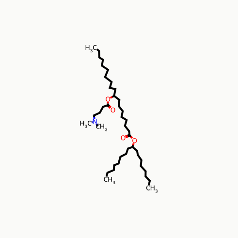 CCCCCCCCCCC(CCCCCCCC(=O)OC(CCCCCCCC)CCCCCCCC)OC(=O)CCCN(C)C